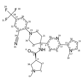 CN1CC[C@H](C(=O)NC2(c3ccc(-c4cccn4C)nc3)CCN(c3ccc(C(F)(F)F)cc3C#N)CC2)C1